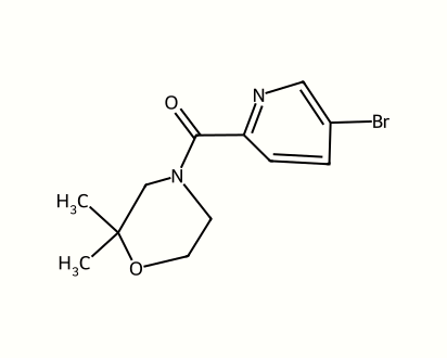 CC1(C)CN(C(=O)c2ccc(Br)cn2)CCO1